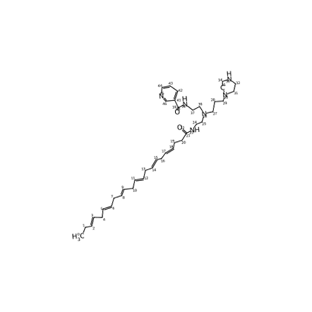 CCC=CCC=CCC=CCC=CCC=CCC=CCCC(=O)NCCN(CCCN1CCNCC1)CCNC(=O)c1cccnc1